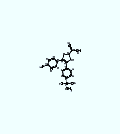 NS(=O)(=O)c1ccc(C2=C(c3ccc(F)nc3)CC(C(=O)O)C2)cc1